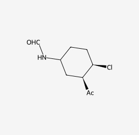 CC(=O)[C@H]1CC(NC=O)CC[C@H]1Cl